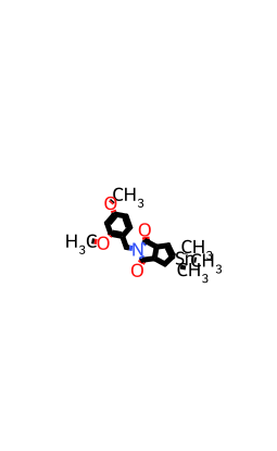 COc1ccc(CN2C(=O)C3C=[C]([Sn]([CH3])([CH3])[CH3])CC3C2=O)c(OC)c1